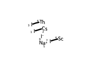 [I-].[I][Cs].[I][Th].[Na+].[Sc][I]